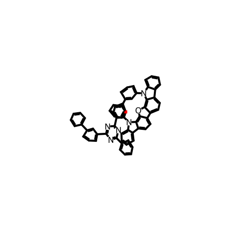 c1ccc(-c2cccc(-c3nc(-c4ccccc4)nc(-c4ccccc4-n4c5ccccc5c5ccc6c7ccc8c9ccccc9n(-c9cccc(-c%10ccccc%10)c9)c8c7oc6c54)n3)c2)cc1